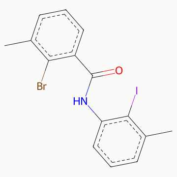 Cc1cccc(C(=O)Nc2cccc(C)c2I)c1Br